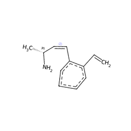 C=Cc1ccccc1/C=C\[C@@H](C)N